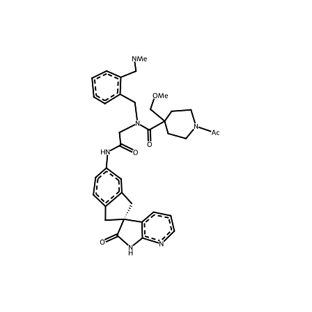 CNCc1ccccc1CN(CC(=O)Nc1ccc2c(c1)C[C@@]1(C2)C(=O)Nc2ncccc21)C(=O)C1(COC)CCN(C(C)=O)CC1